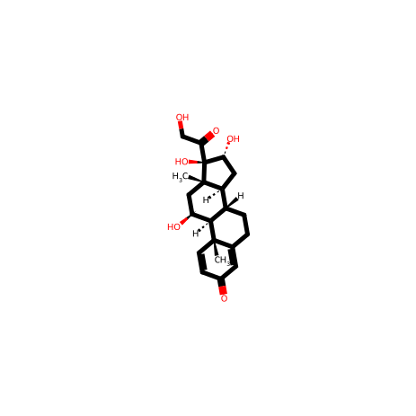 C[C@]12C=CC(=O)C=C1CC[C@@H]1[C@@H]2[C@@H](O)C[C@@]2(C)[C@H]1C[C@@H](O)[C@@]2(O)C(=O)CO